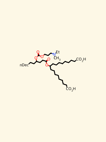 CCCCCCCCCCCCC(CCC(=O)OC(CCCCCCCCC(=O)O)CCCCCCCCC(=O)O)OC(=O)OCCCN(C)CC